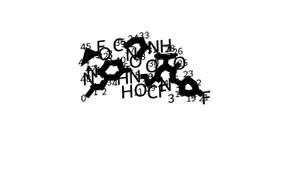 Cc1cc2cc(C(=O)NCC(O)(c3cc4c(c(-c5ccc(F)cc5)n3)OC[C@]4(C)C(=O)Nc3ccc(C(F)(F)F)nc3)C(F)(F)F)cc(OC3CC3)c2nn1